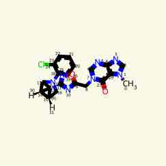 Cn1cnc2ncn(Cc3nc([C@@]45C6[C@H]4[C@H]5CN6c4ccccc4Cl)no3)c(=O)c21